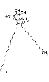 CCCCCCCCCCCCCCCCCCN(C(=O)CCCCCCCCCCCCC)[C@@H]1O[C@H](CO)[C@@H](O)[C@H](O)[C@H]1N